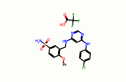 CC(C)Oc1ccc(S(N)(=O)=O)cc1CNc1cc(Nc2ccc(Cl)cc2)ncn1.O=C(O)C(F)(F)F